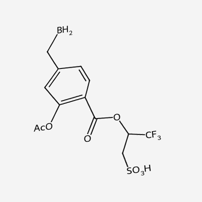 BCc1ccc(C(=O)OC(CS(=O)(=O)O)C(F)(F)F)c(OC(C)=O)c1